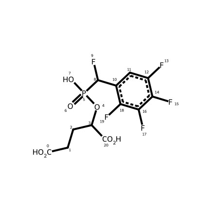 O=C(O)CCC(OP(=O)(O)C(F)c1cc(F)c(F)c(F)c1F)C(=O)O